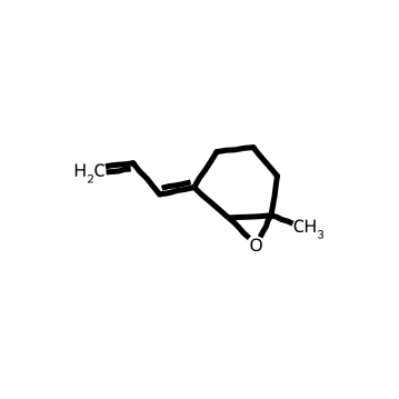 C=CC=C1CCCC2(C)OC12